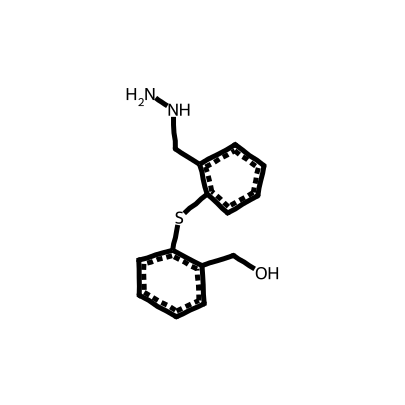 NNCc1ccccc1Sc1ccccc1CO